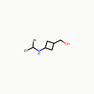 CCC(NC1CC(CO)C1)C(C)C